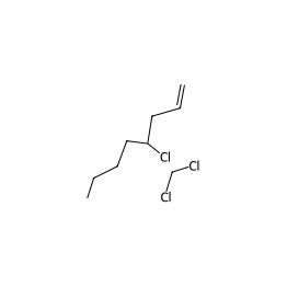 C=CCC(Cl)CCCC.ClCCl